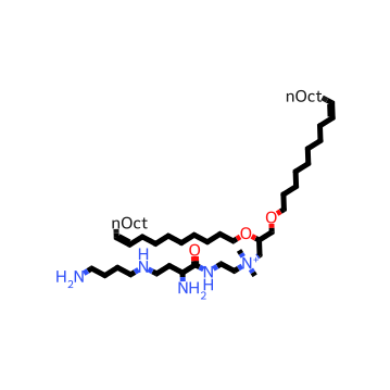 CCCCCCCC/C=C\CCCCCCCCOCC(C[N+](C)(C)CCNC(=O)C(N)CCNCCCCN)OCCCCCCCC/C=C\CCCCCCCC